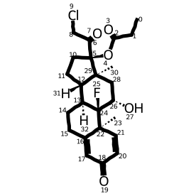 CCC(=O)O[C@]1(C(=O)CCl)CC[C@H]2[C@@H]3CCC4=CC(=O)C=C[C@]4(C)[C@@]3(F)[C@@H](O)C[C@@]21C